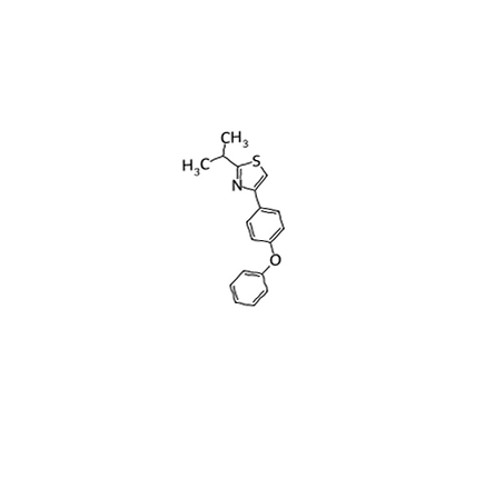 CC(C)c1nc(-c2ccc(Oc3ccccc3)cc2)cs1